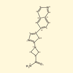 NC(=O)C1CN(c2ncc(-c3ccc4cnccc4c3)s2)C1